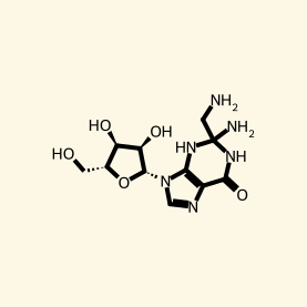 NCC1(N)NC(=O)c2ncn([C@@H]3O[C@H](CO)[C@@H](O)[C@H]3O)c2N1